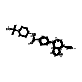 CC(C)(O)[C@H]1CC[C@H](NC(=O)c2ccc(-c3ncc(C#N)c4[nH]ccc34)cc2)CC1